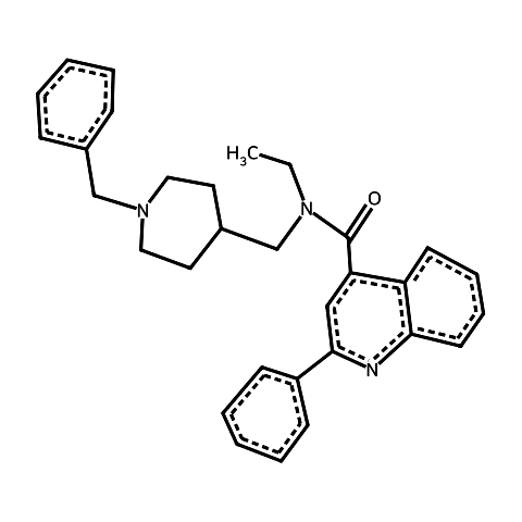 CCN(CC1CCN(Cc2ccccc2)CC1)C(=O)c1cc(-c2ccccc2)nc2ccccc12